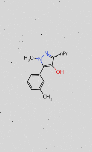 CCCc1nn(C)c(-c2cccc(C)c2)c1O